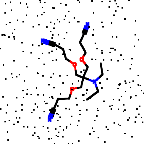 CCN(CC)C(COCCC#N)(COCCC#N)COCCC#N